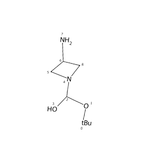 CC(C)(C)OC(O)N1CC(N)C1